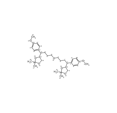 COc1ccc(C(CCCOCCCC(c2ccc(OC)cc2)C2COC(C)(C)O2)C2COC(C)(C)O2)cc1